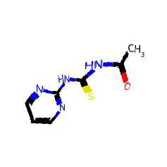 CC(=O)NC(=S)Nc1ncccn1